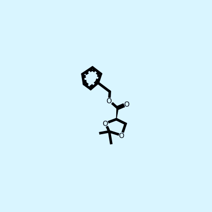 CC1(C)OC[C@H](C(=O)OCc2ccccc2)O1